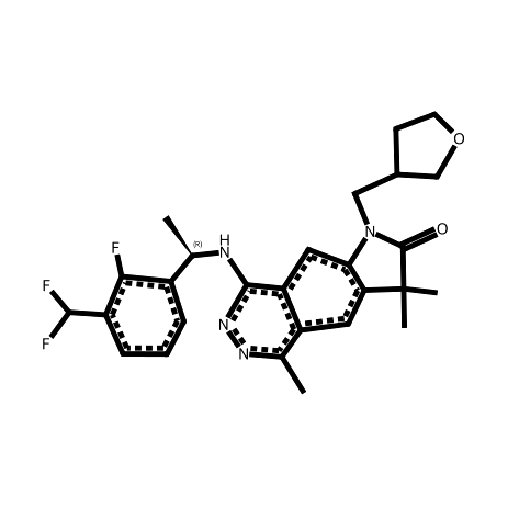 Cc1nnc(N[C@H](C)c2cccc(C(F)F)c2F)c2cc3c(cc12)C(C)(C)C(=O)N3CC1CCOC1